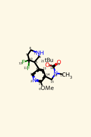 COc1ncc(C2CNCCC2(F)F)cc1CN(C)C(=O)OC(C)(C)C